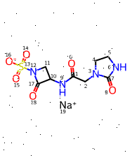 O=C(CN1CCNC1=O)NC1CN(S(=O)(=O)[O-])C1=O.[Na+]